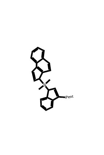 CCCC(C)C1=CC([Si](C)(C)C2C=Cc3c2ccc2ccccc32)c2ccccc21